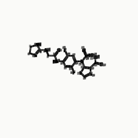 O=C(CNC1=NCCN1)Nc1cc(F)c(N(c2scnc2C(=O)O)[SH](=O)=O)cc1F